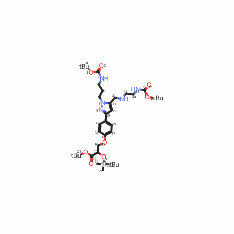 CC(C)(C)OC(=O)NCCCn1nc(-c2ccc(OCC(O[Si](C)(C)C(C)(C)C)C(=O)OC(C)(C)C)cc2)cc1CNCCNC(=O)OC(C)(C)C